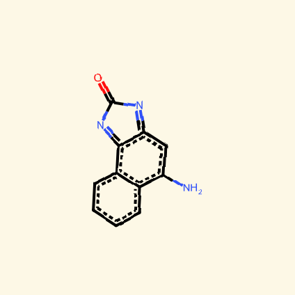 Nc1cc2c(c3ccccc13)=NC(=O)N=2